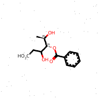 C[C@@H](O)[C@H](OC(=O)c1ccccc1)C(O)CC(=O)O